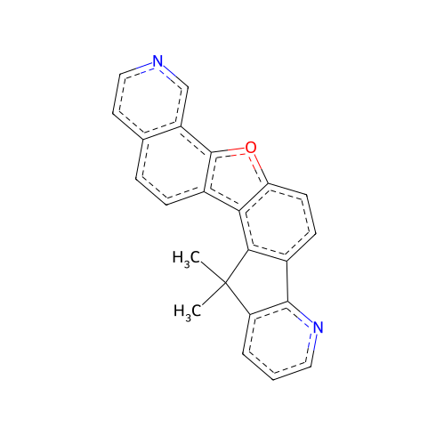 CC1(C)c2cccnc2-c2ccc3oc4c5cnccc5ccc4c3c21